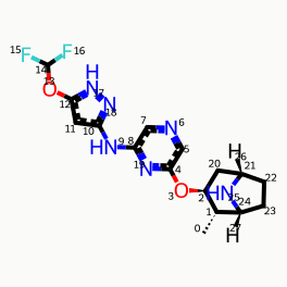 C[C@@H]1[C@@H](Oc2cncc(Nc3cc(OC(F)F)[nH]n3)n2)C[C@@H]2CC[C@H]1N2